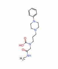 CNC(=O)CN(CCCN1CCN(c2ccccc2)CC1)C(=O)O